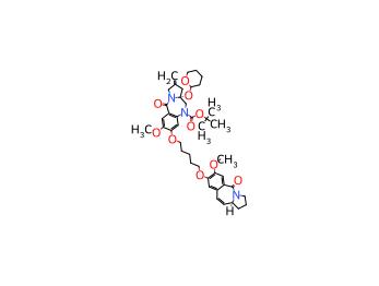 C=C1CN2C(=O)c3cc(OC)c(OCCCCCOc4cc5c(cc4OC)C(=O)N4CCC[C@H]4C=C5)cc3N(C(=O)OC(C)(C)C)C[C@]2(OC2CCCCO2)C1